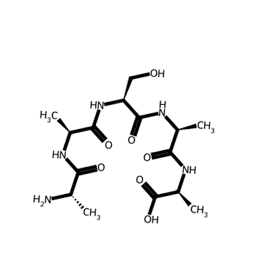 C[C@H](N)C(=O)N[C@@H](C)C(=O)N[C@@H](CO)C(=O)N[C@@H](C)C(=O)N[C@@H](C)C(=O)O